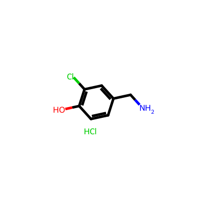 Cl.NCc1ccc(O)c(Cl)c1